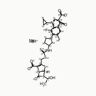 C[C@H](O)[C@H]1C(=O)N2C(C(=O)[O-])=C(CSC(=S)NC3CCN(c4c(F)cc5c(=O)c(C(=O)[O-])cn(C6CC6)c5c4F)C3)S[C@@H]12.[Na+].[Na+]